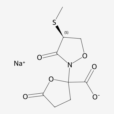 CS[C@H]1CON(C2(C(=O)[O-])CCC(=O)O2)C1=O.[Na+]